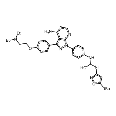 CCN(CC)CCOc1ccc(-c2nn(-c3ccc(NC(O)Nc4cc(C(C)(C)C)on4)cc3)c3ncnc(N)c23)cc1